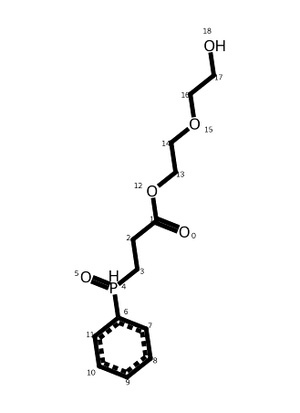 O=C(CC[PH](=O)c1ccccc1)OCCOCCO